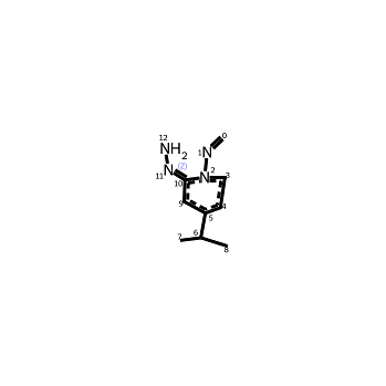 C=Nn1ccc(C(C)C)c/c1=N/N